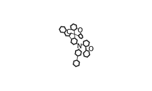 c1ccc(-c2ccc(N(c3ccc4c(c3)C3(c5ccccc5Oc5ccccc53)c3cc5ccccc5cc3-4)c3cccc4oc5ccccc5c34)cc2)cc1